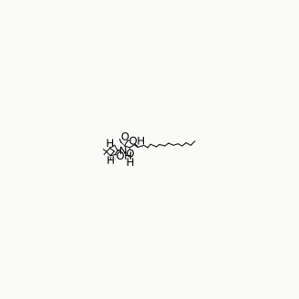 CCCCCCCCCCCCCC=C[C@@H](O)[C@](CC)(N=C1C[C@@H]2C[C@@H](C2(C)C)[C@]1(C)O)C(=O)O